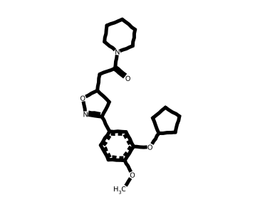 COc1ccc(C2=NOC(CC(=O)N3CCCCC3)C2)cc1OC1CCCC1